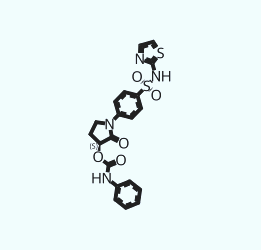 O=C(Nc1ccccc1)O[C@H]1CCN(c2ccc(S(=O)(=O)Nc3nccs3)cc2)C1=O